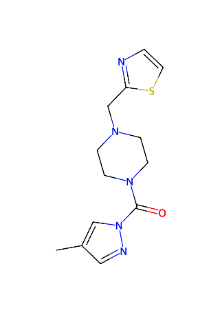 Cc1cnn(C(=O)N2CCN(Cc3nccs3)CC2)c1